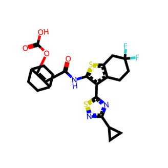 O=C(O)OC1=C(C(=O)Nc2sc3c(c2-c2nc(C4CC4)ns2)CCC(F)(F)C3)C2CCC1CC2